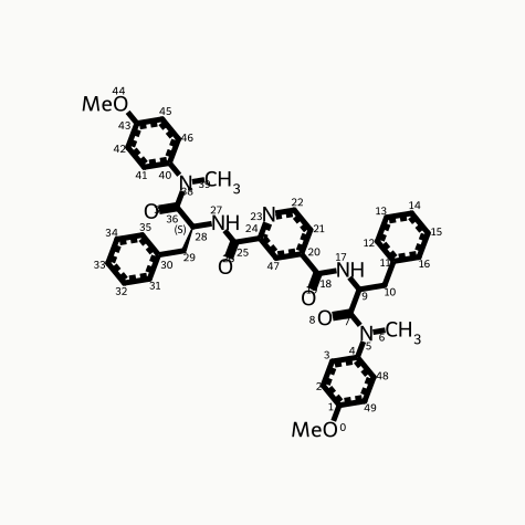 COc1ccc(N(C)C(=O)C(Cc2ccccc2)NC(=O)c2ccnc(C(=O)N[C@@H](Cc3ccccc3)C(=O)N(C)c3ccc(OC)cc3)c2)cc1